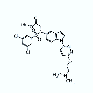 CN(C)CCOc1ccc(-n2ccc3cc(N(CC(=O)OC(C)(C)C)S(=O)(=O)C4C=C(Cl)C=C(Cl)C4)ccc32)nn1